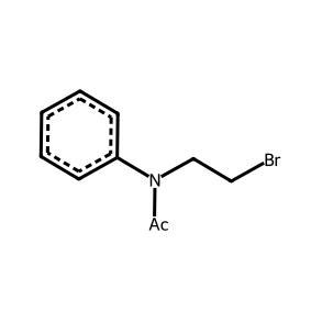 CC(=O)N(CCBr)c1ccccc1